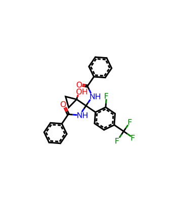 O=C(NC(NC(=O)c1ccccc1)(c1ccc(C(F)(F)F)cc1F)C1(O)CC1)c1ccccc1